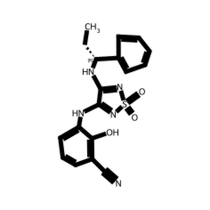 CC[C@@H](NC1=NS(=O)(=O)N=C1Nc1cccc(C#N)c1O)c1ccccc1